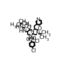 CC(C)N1CC2N(C(=O)C(NC(=O)NC(C)(C)C)CN2S(=O)(=O)c2ccc(Cl)cc2Cl)C(Cc2cccnc2)C1=O